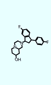 OC1CCN2CCN(C3CC(c4ccc(F)cc4)c4ccc(F)cc43)CC2C1